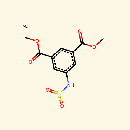 COC(=O)c1cc(N[SH](=O)=O)cc(C(=O)OC)c1.[Na]